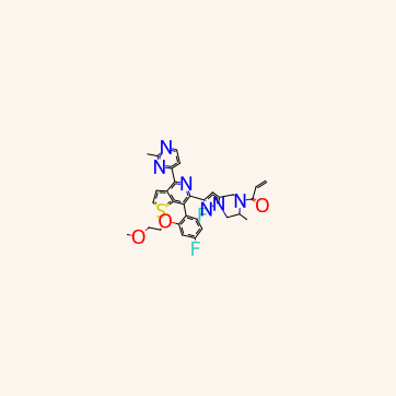 C=CC(=O)N1Cc2cc(-c3nc(-c4ccnc(C)n4)c4ccsc4c3-c3c(F)cc(F)cc3OCCOC)nn2CC1C